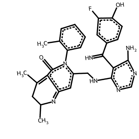 CC1=c2c(cc(CNc3ncnc(N)c3C(=N)c3ccc(O)c(F)c3)n(-c3ccccc3C)c2=O)=NC(C)C1